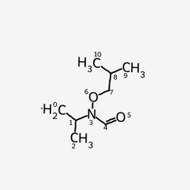 [CH2]C(C)N(C=O)OCC(C)C